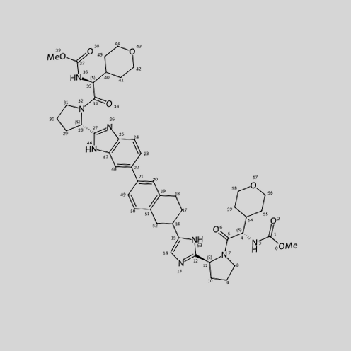 COC(=O)N[C@H](C(=O)N1CCC[C@H]1c1ncc(C2CCc3cc(-c4ccc5nc([C@@H]6CCCN6C(=O)[C@@H](NC(=O)OC)C6CCOCC6)[nH]c5c4)ccc3C2)[nH]1)C1CCOCC1